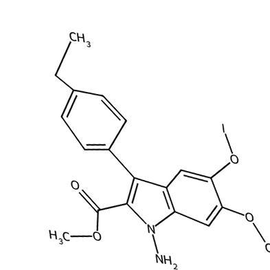 CCc1ccc(-c2c(C(=O)OC)n(N)c3cc(OC)c(OI)cc23)cc1